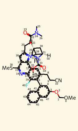 COCOc1cc(-c2c(CCC#N)cc3c(nc(SC)c4cc(CCC(=O)N(C)C)n([C@H]5[C@@H]6C[C@H]5N(C(=O)OC(C)(C)C)C6)c43)c2F)c2ccccc2c1